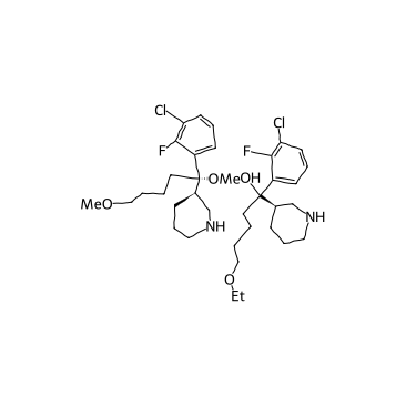 CCOCCCCC(O)(c1cccc(Cl)c1F)[C@@H]1CCCNC1.COCCCC[C@@](OC)(c1cccc(Cl)c1F)[C@@H]1CCCNC1